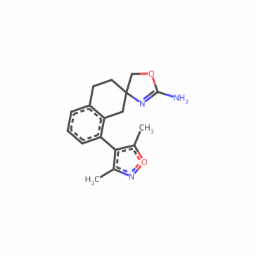 Cc1noc(C)c1-c1cccc2c1CC1(CC2)COC(N)=N1